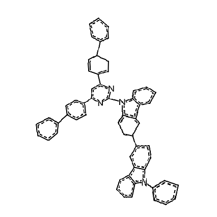 C1=CC(c2ccccc2)CC=C1c1cc(-c2ccc(-c3ccccc3)cc2)nc(-n2c3c(c4ccccc42)=CC(c2ccc4c(c2)c2ccccc2n4-c2ccccc2)CC=3)n1